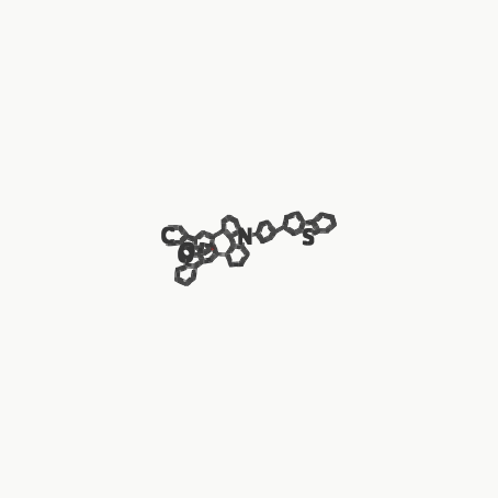 c1ccc2c(c1)oc1ccc(-c3cccc4c3c3c(-c5ccc6oc7ccccc7c6c5)cccc3n4-c3ccc(-c4ccc5c(c4)sc4ccccc45)cc3)cc12